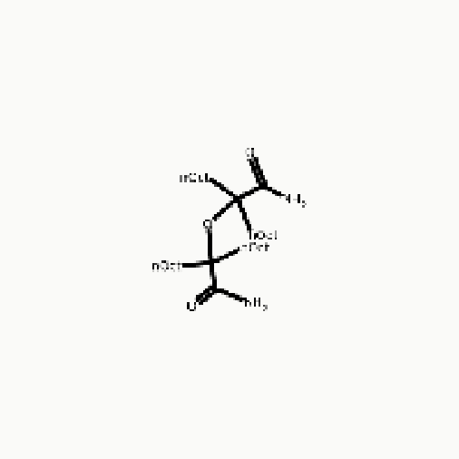 CCCCCCCCC(CCCCCCCC)(OC(CCCCCCCC)(CCCCCCCC)C(N)=O)C(N)=O